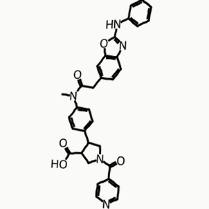 CN(C(=O)Cc1ccc2nc(Nc3ccccc3)oc2c1)c1ccc(C2CN(C(=O)c3ccncc3)CC2C(=O)O)cc1